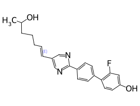 CC(O)CCC/C=C/c1cnc(-c2ccc(-c3ccc(O)cc3F)cc2)nc1